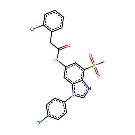 CS(=O)(=O)c1cc(NC(=O)Cc2ccccc2Cl)cc2c1ncn2-c1ccc(Cl)cc1